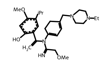 C=C(c1cc(C(C)C)c(OC)cc1O)N(C(=N)COC)C1=CC=C(CN2CCN(CC)CC2)CC1